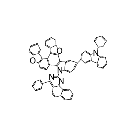 c1ccc(-c2nc(-n3c4ccc(-c5ccc6c(c5)c5ccccc5n6-c5ccccc5)cc4c4c5oc6ccccc6c5c5c(ccc6oc7ccccc7c65)c43)nc3c2ccc2ccccc23)cc1